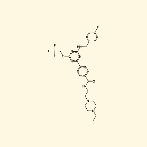 CCN1CCN(CCNC(=O)c2ccc(-c3nc(NCc4ccc(F)cc4)nc(OCC(F)(F)F)n3)cc2)CC1